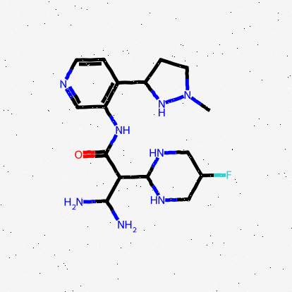 CN1CCC(c2ccncc2NC(=O)C(C(N)N)C2NCC(F)CN2)N1